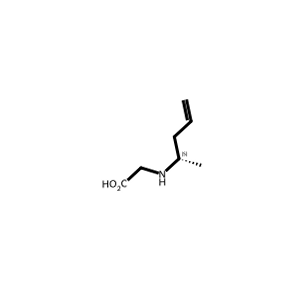 C=CC[C@H](C)NCC(=O)O